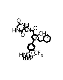 Cc1c(C(=O)N2CC3(C2)NC(=O)CNC3=O)cc(-c2ccc([S+]([O-])NC(C)(C)C)c(C(F)(F)F)c2)n1CC1CCCCC1